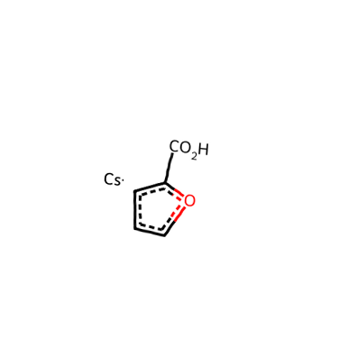 O=C(O)c1ccco1.[Cs]